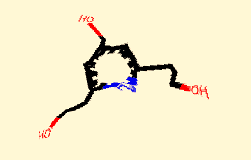 OCCc1cc(O)cc(CCO)n1